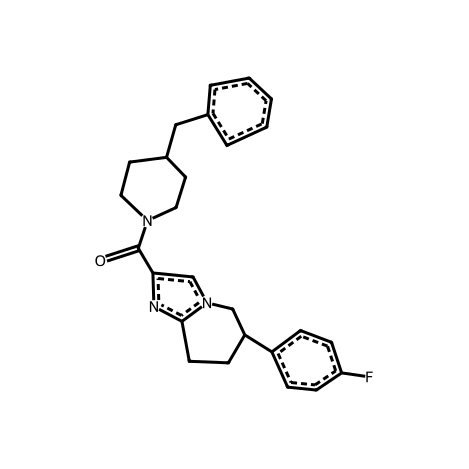 O=C(c1cn2c(n1)CCC(c1ccc(F)cc1)C2)N1CCC(Cc2ccccc2)CC1